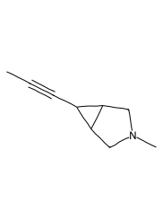 CC#CC1C2CN(C)CC12